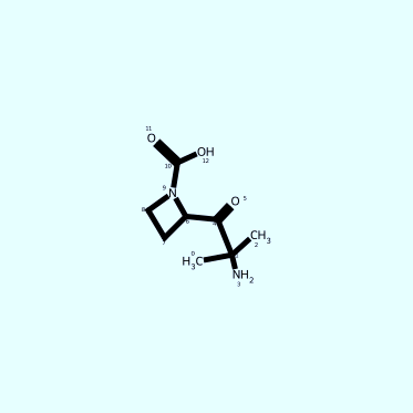 CC(C)(N)C(=O)C1CCN1C(=O)O